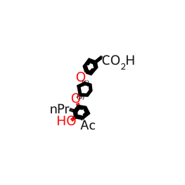 CCCc1c(O[C@H]2CCC[C@H](Oc3ccc(CC(=O)O)cc3)C2)ccc(C(C)=O)c1O